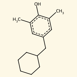 Cc1cc(CC2CCCCC2)cc(C)c1O